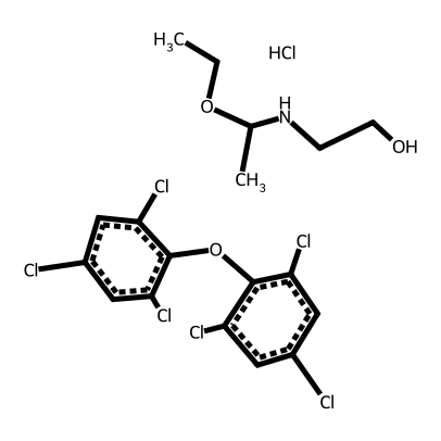 CCOC(C)NCCO.Cl.Clc1cc(Cl)c(Oc2c(Cl)cc(Cl)cc2Cl)c(Cl)c1